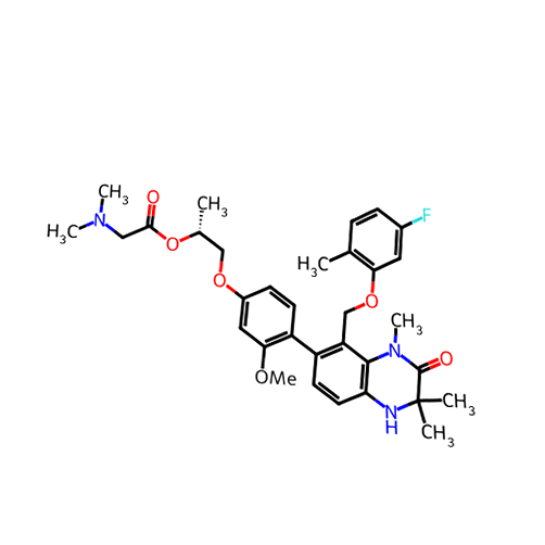 COc1cc(OC[C@@H](C)OC(=O)CN(C)C)ccc1-c1ccc2c(c1COc1cc(F)ccc1C)N(C)C(=O)C(C)(C)N2